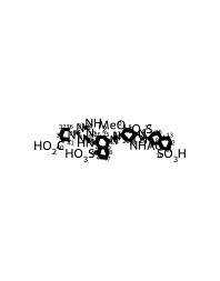 COc1cc(N=Nc2cc3c(S(=O)(=O)O)cccc3cc2S(=O)(=O)O)c(NC(C)=O)cc1N=Nc1ccc(Nc2nc(N)nc(-[n+]3cccc(C(=O)O)c3)n2)c2c(S(=O)(=O)O)cccc12